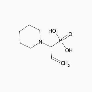 C=CC(N1CCCCC1)P(=O)(O)O